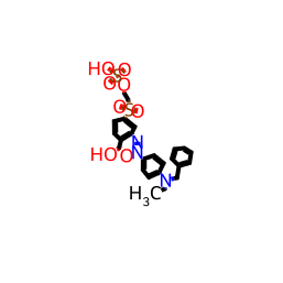 CCN(Cc1ccccc1)c1ccc(N=Nc2cc(S(=O)(=O)CCOS(=O)(=O)O)ccc2C(=O)O)cc1